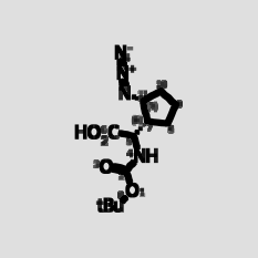 CC(C)(C)OC(=O)NC(C(=O)O)[C@H]1CCC[C@H]1N=[N+]=[N-]